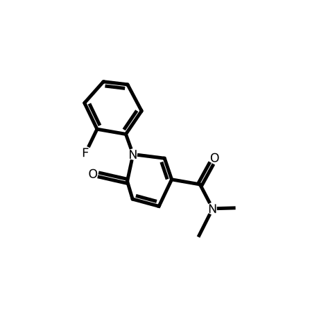 CN(C)C(=O)c1ccc(=O)n(-c2ccccc2F)c1